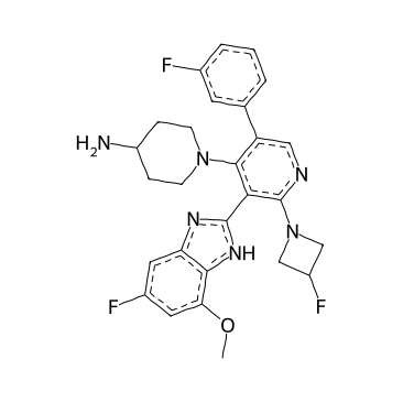 COc1cc(F)cc2nc(-c3c(N4CC(F)C4)ncc(-c4cccc(F)c4)c3N3CCC(N)CC3)[nH]c12